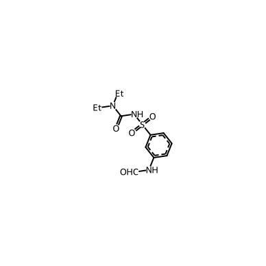 CCN(CC)C(=O)NS(=O)(=O)c1cccc(NC=O)c1